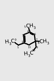 CCC1=CC(C)=CC(C)(CC)C1